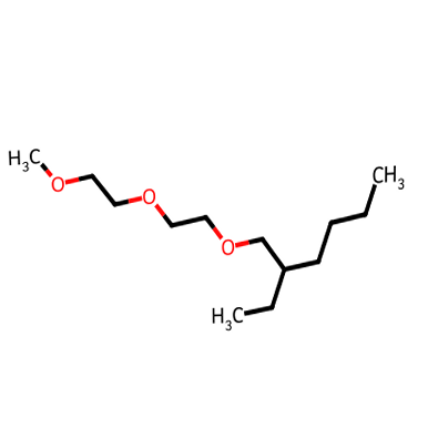 CCCCC(CC)COCCOCCOC